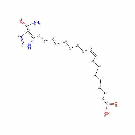 NC(=O)c1nc[nH]c1CCCCCCCC/C=C\CCCCCCCC(=O)O